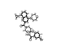 O=C1NC2(CCN(C(=O)c3cc(N4CCOCC4)c4cccc(C5CC5)c4n3)CC2)Oc2ccc(Br)cc21